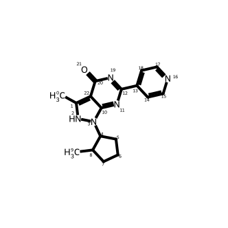 Cc1[nH]n(C2CCCC2C)c2nc(-c3ccncc3)nc(=O)c1-2